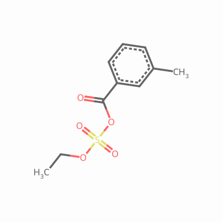 CCOS(=O)(=O)OC(=O)c1cccc(C)c1